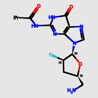 CC(C)C(=O)Nc1nc2c(ncn2[C@@H]2O[C@H](CN)C[C@H]2F)c(=O)[nH]1